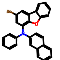 Brc1cc(N(c2ccccc2)c2ccc3ccccc3c2)c2oc3ccccc3c2c1